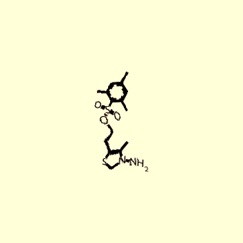 CC1=C(CCOS(=O)(=O)c2c(C)cc(C)cc2C)SCN1N